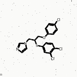 Clc1ccc(OCC(Cn2ccnc2)Sc2ccc(Cl)c(Cl)c2)cc1